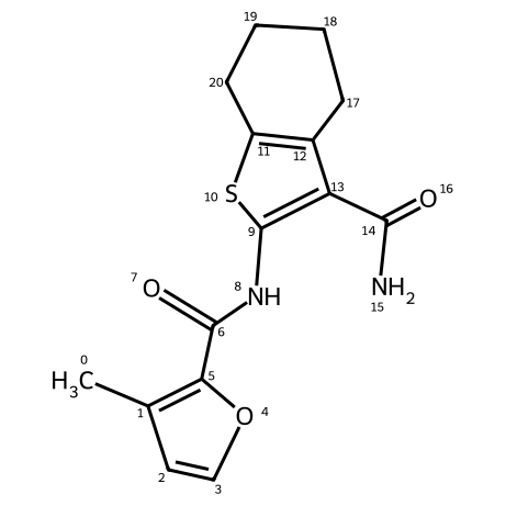 Cc1ccoc1C(=O)Nc1sc2c(c1C(N)=O)CCCC2